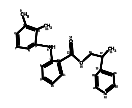 Cc1cccc(Nc2ccccc2C(=O)OCC(C)c2ccncc2)c1C